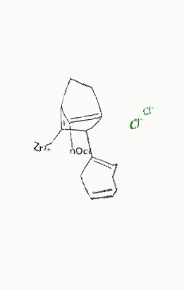 CCCCCCCCC1=C2CCC1=[C]([Zr+2])C2C1=CC=CC1.[Cl-].[Cl-]